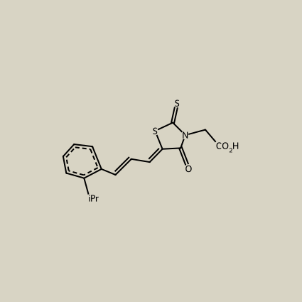 CC(C)c1ccccc1C=CC=C1SC(=S)N(CC(=O)O)C1=O